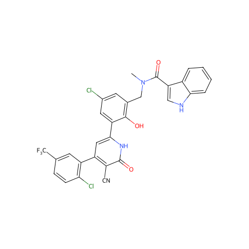 CN(Cc1cc(Cl)cc(-c2cc(-c3cc(C(F)(F)F)ccc3Cl)c(C#N)c(=O)[nH]2)c1O)C(=O)c1c[nH]c2ccccc12